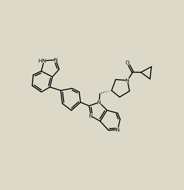 O=C(C1CC1)N1CC[C@H](Cn2c(-c3ccc(-c4cccc5[nH]ncc45)cc3)nc3cnccc32)C1